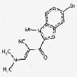 CCn1c(C(=O)/C(C#N)=C/N(C)C)cc2cc(Br)ccc21